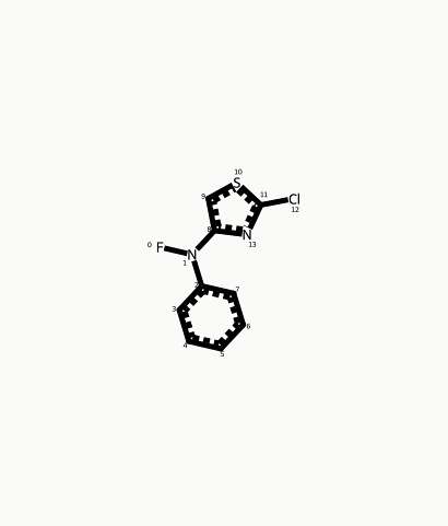 FN(c1ccccc1)c1csc(Cl)n1